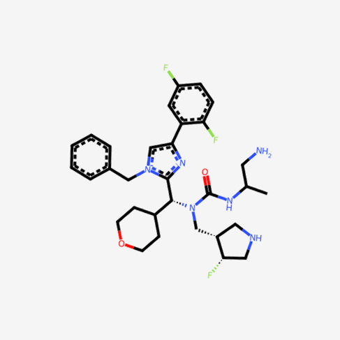 CC(CN)NC(=O)N(C[C@@H]1CNC[C@@H]1F)[C@@H](c1nc(-c2cc(F)ccc2F)cn1Cc1ccccc1)C1CCOCC1